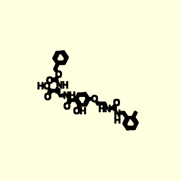 Cc1ccccc1CNC(=O)NCCOc1ccc(C(=O)NC[C@H](NC(=O)OCc2ccccc2)C(=O)O)c(O)c1